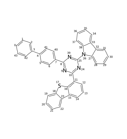 c1ccc(-c2ccc(-c3nc(-c4cccc5c4sc4ccccc45)nc(-n4c5ccccc5c5ccccc54)n3)cc2)cc1